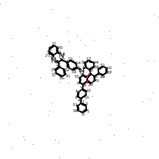 c1ccc(-c2ccc(-c3ccc(N(c4ccc(-c5nc6ccccc6nc5-c5ccccc5)cc4)c4ccccc4-c4ccccc4-c4ccccc4)cc3)cc2)cc1